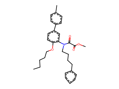 CCCCCOc1ccc(-c2ccc(C)cc2)cc1N(CCCCc1ccccc1)C(=O)C(=O)OC